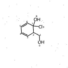 OCC1C=CC=CC1(O)Cl